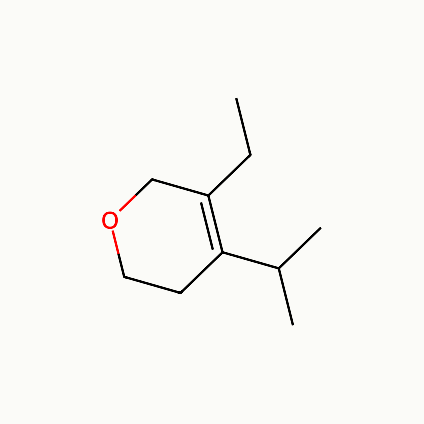 CCC1=C(C(C)C)CCOC1